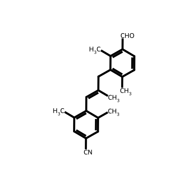 C/C(=C\c1c(C)cc(C#N)cc1C)Cc1c(C)ccc(C=O)c1C